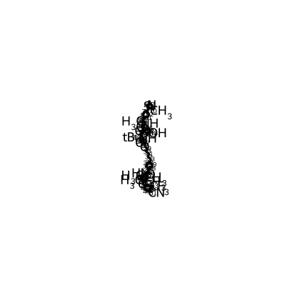 Cc1ncsc1-c1ccc([C@H](C)NC(=O)[C@@H]2C[C@@H](O)CN2C(=O)C(NC(=O)COCCCCCc2ccc(C(=O)NC3C(C)(C)C(Oc4ccc(C#N)c(C(F)(F)F)c4)C3(C)C)cc2)C(C)(C)C)cc1